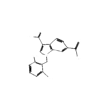 CC(=O)c1cn(Cc2c(C)cccc2C)c2cc(C(=O)O)ccc12